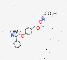 CO/N=C(\COc1ccc(COC(C)O/N=C/C(=O)O)cc1)c1ccccc1